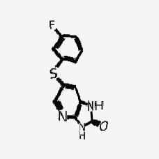 O=c1[nH]c2cc(Sc3cccc(F)c3)cnc2[nH]1